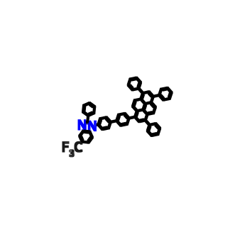 FC(F)(F)c1ccc2c(c1)nc(-c1ccccc1)n2-c1ccc(-c2ccc(-c3cc(-c4ccccc4)c4ccc5c(-c6ccccc6)cc(-c6ccccc6)c6ccc3c4c56)cc2)cc1